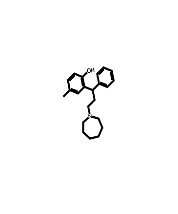 Cc1ccc(O)c(C(CCN2CCCCCC2)c2ccccc2)c1